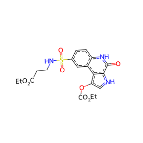 CCOC(=O)CCNS(=O)(=O)c1ccc2[nH]c(=O)c3[nH]cc(OC(=O)OCC)c3c2c1